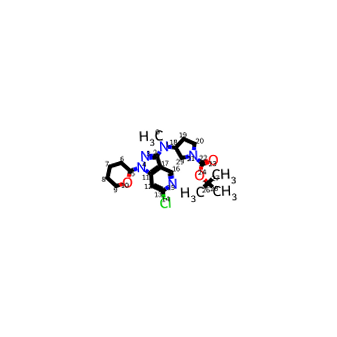 CN(c1nn(C2CCCCO2)c2cc(Cl)ncc12)C1CCN(C(=O)OC(C)(C)C)C1